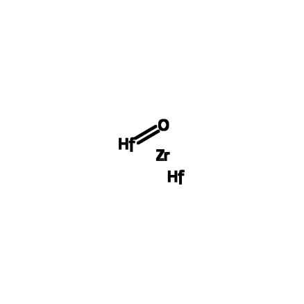 [Hf].[O]=[Hf].[Zr]